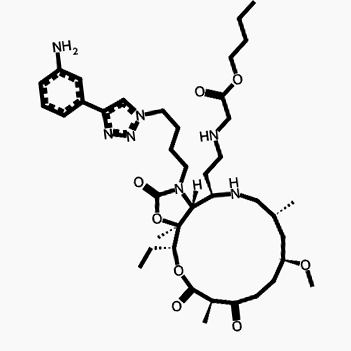 CCCCOC(=O)CNCC[C@H]1NC[C@H](C)C[C@@H](OC)CCC(=O)[C@@H](C)C(=O)O[C@H](CC)[C@@]2(C)OC(=O)N(CCCCn3cc(-c4cccc(N)c4)nn3)[C@H]12